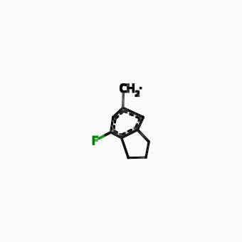 [CH2]c1cc(F)c2c(c1)CCC2